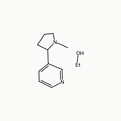 CCO.CN1CCCC1c1cccnc1